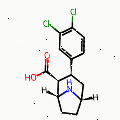 O=C(O)[C@H]1[C@@H](c2ccc(Cl)c(Cl)c2)C[C@@H]2CC[C@H]1N2